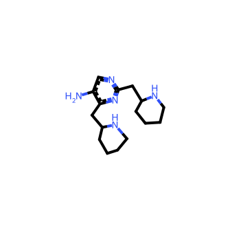 Nc1cnc(CC2CCCCN2)nc1CC1CCCCN1